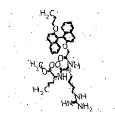 C=CCOc1ccc2ccccc2c1-c1c(OCC(=O)N[C@H](CCCCNC(=N)N)C(=O)N[C@@H](CC=C)C(=O)OC)ccc2ccccc12